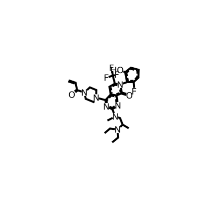 C=CC(=O)N1CCN(c2nc(N(C)CC(C)N(CC)CC)nc3c(=O)n(-c4c(O)cccc4F)c(C(F)(F)F)cc23)CC1